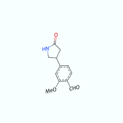 COc1cc(C2CNC(=O)C2)ccc1C=O